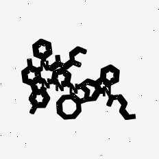 C/C=C\C=C/C(C)n1c2c(c3ccccc31)=CC1CC(C=2)C2=C(C/C=C\CCC2)N1c1cccc(-n2c3ccc(C)cc3c3ccc(C)c(N(/C=C(C)/C=C(C)\C=C/C)c4ccccc4)c32)n1